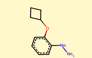 NNc1ccccc1OC1CCC1